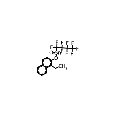 CCc1c(OS(=O)(=O)C(F)(F)C(F)(F)C(F)(F)C(F)(F)F)ccc2ccccc12